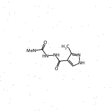 CNC(=O)NNC(=O)c1c[nH]nc1C